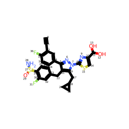 C#Cc1cc(-c2nn(-c3nc(C(O)O)cs3)c(CC3CC3)c2Cc2ccc([S+](N)[O-])c(F)c2)ccc1F